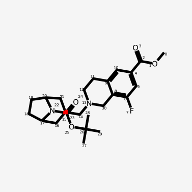 COC(=O)c1cc(F)c2c(c1)CCN(CC1CC3CCC(C1)N3C(=O)OC(C)(C)C)C2